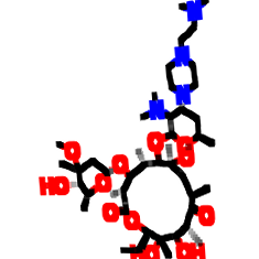 CC[C@H]1OC(=O)[C@H](C)[C@@H](O[C@H]2C[C@@](C)(OC)[C@@H](O)[C@H](C)O2)[C@H](C)[C@@H](O[C@@H]2O[C@H](C)C[C@@H](N3CCN(CCN(C)C)CC3)[C@@H]2N(C)C)[C@@](C)(OC)C[C@@H](C)C(=O)[C@H](C)[C@@H](O)[C@]1(C)O